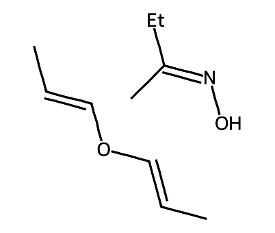 CC=COC=CC.CCC(C)=NO